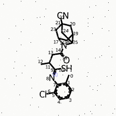 Cc1cccc(Cl)c1/N=C(\S)C(C)CC(=O)N1C2CC3CC(C#N)(C2)CC31